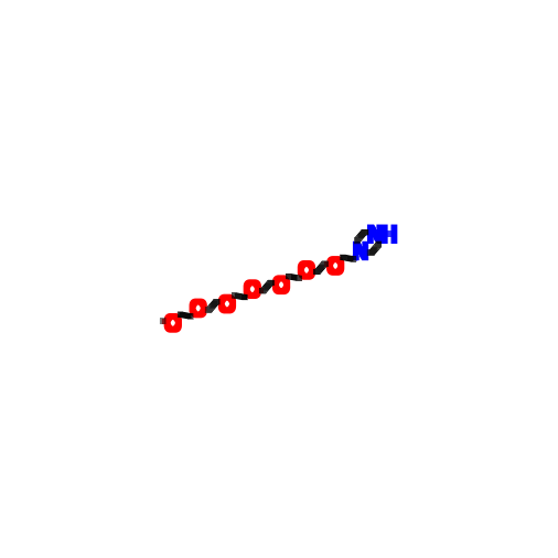 COCCOCCOCCOCCOCCOCCOCCN1CCNCC1